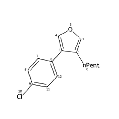 [CH2]CCCCc1cocc1-c1ccc(Cl)cc1